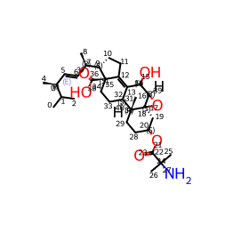 CC(C)[C@@H](C)/C=C/[C@@H](C)[C@@H]1CCC2=C3[C@@H](O)[C@H]4O[C@]45C[C@@H](OC(=O)C(C)(C)N)CC[C@]5(C)[C@H]3CC[C@@]21C(=O)O